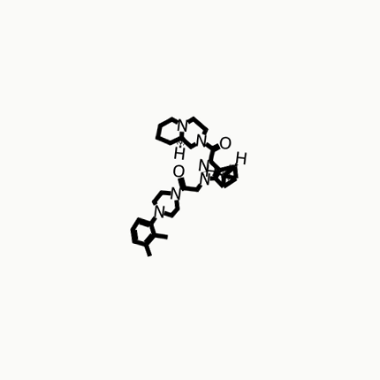 Cc1cccc(N2CCN(C(=O)Cn3nc(C(=O)N4CCN5CCCC[C@@H]5C4)c4c3C3C5[C@H]3[C@H]45)CC2)c1C